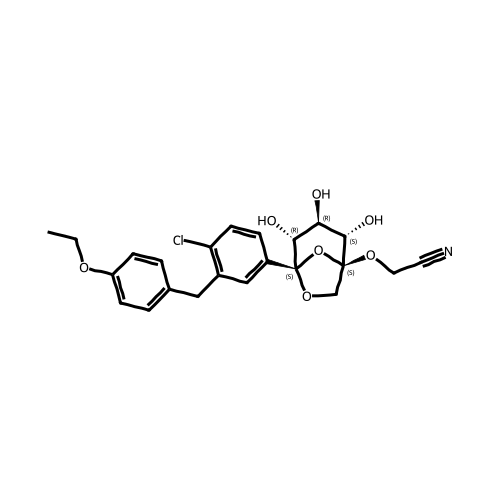 CCOc1ccc(Cc2cc([C@]34OC[C@](OCC#N)(O3)[C@@H](O)[C@H](O)[C@H]4O)ccc2Cl)cc1